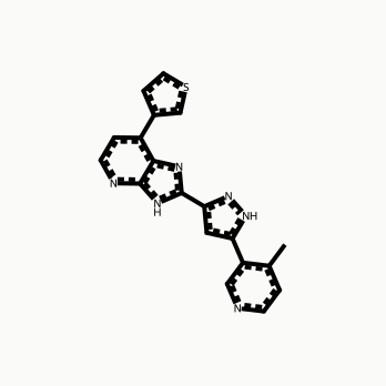 Cc1ccncc1-c1cc(-c2nc3c(-c4ccsc4)ccnc3[nH]2)n[nH]1